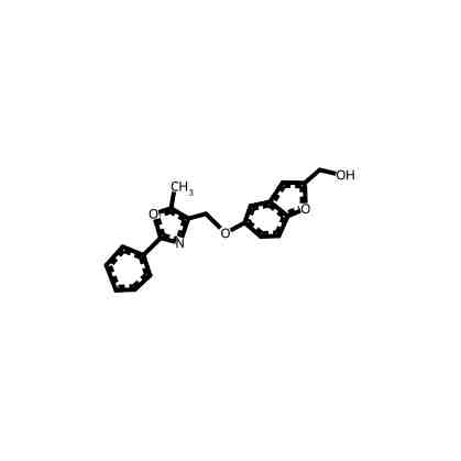 Cc1oc(-c2ccccc2)nc1COc1ccc2oc(CO)cc2c1